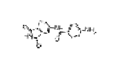 Nc1ccc(C(=O)Nc2ccc3c(c2)C(=O)NC3=O)cc1